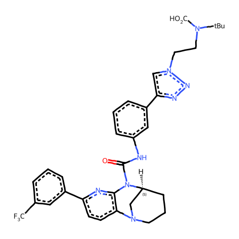 CC(C)(C)N(CCn1cc(-c2cccc(NC(=O)N3c4nc(-c5cccc(C(F)(F)F)c5)ccc4N4CCC[C@H]3C4)c2)nn1)C(=O)O